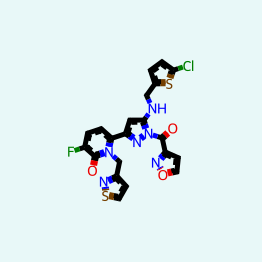 O=C(c1ccon1)n1nc(-c2ccc(F)c(=O)n2Cc2ccsn2)cc1NCc1ccc(Cl)s1